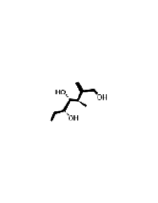 C=C(CO)[C@@H](C)[C@@H](O)[C@H](O)CC